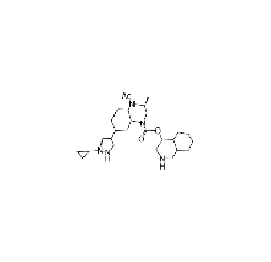 CC(=O)N1C2CCC(C3CNN(C4CC4)C3)CC2N(C(=O)OC2CNCC3CCCCC32)C[C@@H]1C